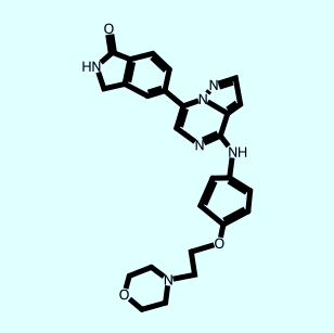 O=C1NCc2cc(-c3cnc(Nc4ccc(OCCN5CCOCC5)cc4)c4ccnn34)ccc21